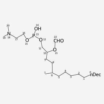 CCCCCCCCCCCCCCCC(C)CCC(COP(O)OCCN(C)C)OC=O